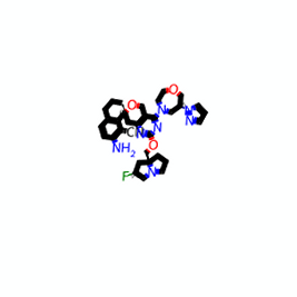 N#Cc1c(N)ccc2c1[C@]1(CCC2)Cc2nc(OC[C@@]34CCCN3C[C@H](F)C4)nc(N3CCOC[C@H](n4cccn4)C3)c2CO1